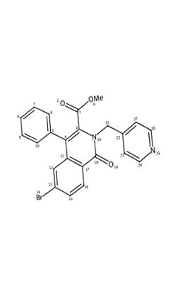 COC(=O)c1c(-c2ccccc2)c2cc(Br)ccc2c(=O)n1Cc1ccncc1